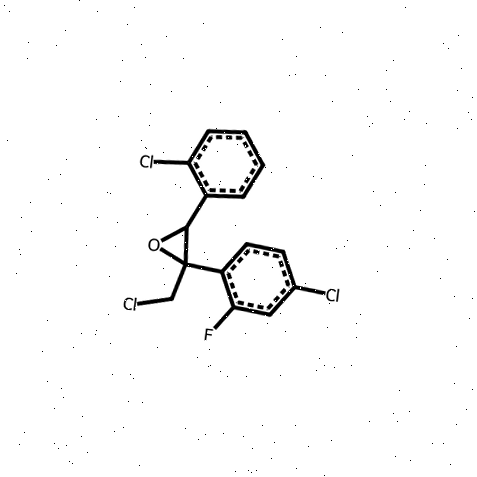 Fc1cc(Cl)ccc1C1(CCl)OC1c1ccccc1Cl